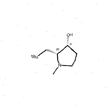 CN1CC[C@@H](O)[C@H]1CC(C)(C)C